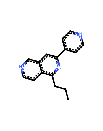 CCCc1nc(-c2ccncc2)cc2cnccc12